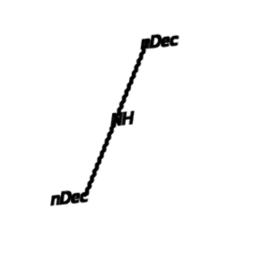 CCCCCCCCCCCCCCCCCCCCCCCCCCCCCCCCCCNCCCCCCCCCCCCCCCCCCCCCCCCCCCCCCCCCC